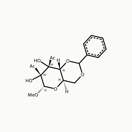 CO[C@H]1O[C@@H]2COC(c3ccccc3)O[C@H]2[C@](O)(C(C)=O)[C@]1(O)C(C)=O